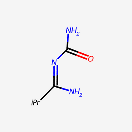 CC(C)C(N)=NC(N)=O